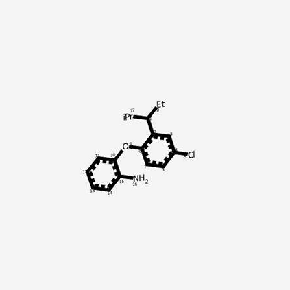 CCC(c1cc(Cl)ccc1Oc1ccccc1N)C(C)C